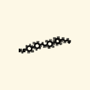 CC1CCC(C2CCC(CCC3CCC(c4ccc(CCCF)cc4)CC3)CC2)CC1